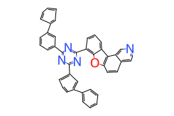 c1ccc(-c2cccc(-c3nc(-c4cccc(-c5ccccc5)c4)nc(-c4cccc5c4oc4ccc6ccncc6c45)n3)c2)cc1